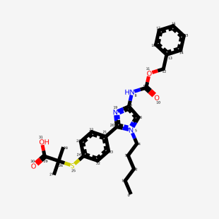 CCCCCn1cc(NC(=O)OCc2ccccc2)nc1-c1ccc(SC(C)(C)C(=O)O)cc1